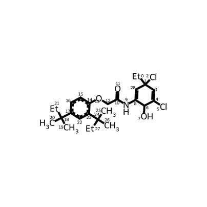 CCC1(Cl)C=C(Cl)C(O)C(NC(=O)COc2ccc(C(C)(C)CC)cc2C(C)(C)CC)=C1